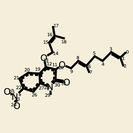 CC(C)=CCC/C(C)=C/COc1c(OCC=C(C)C)c2ccc([N+](=O)[O-])cc2n(C)c1=O